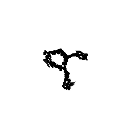 Brc1cnnn1Br